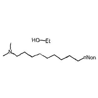 CCCCCCCCCCCCCCCCCCN(C)C.[CH2]CO